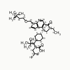 CCN1CN([C@H]2CC[C@H](C(N(CC(F)F)C(=O)O)C(C)(C)C)CC2)c2c(cnc3c2ccn3COCC[Si](C)(C)C)C1=O